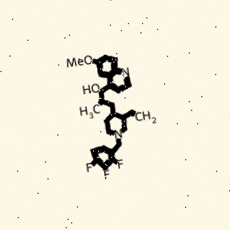 C=CC1CN(Cc2ccc(F)c(F)c2F)CCC1CC(C)C(O)c1ccnc2ccc(OC)cc12